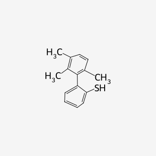 Cc1ccc(C)c(-c2ccccc2S)c1C